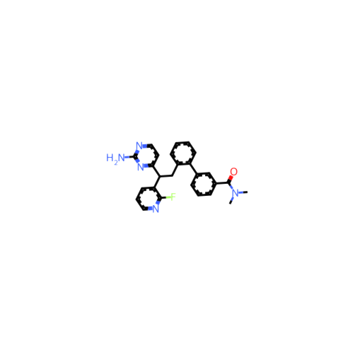 CN(C)C(=O)c1cccc(-c2ccccc2CC(c2ccnc(N)n2)c2cccnc2F)c1